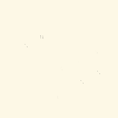 CSc1ncnc2sc(-c3c(-c4cccc(I)c4)ncn3C)cc12